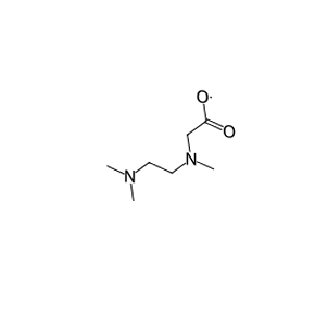 CN(C)CCN(C)CC([O])=O